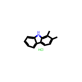 Cc1ccc2c([nH]c3ccccc32)c1C.Cl